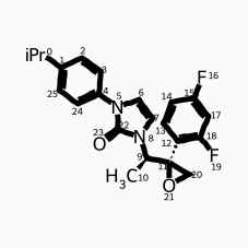 CC(C)c1ccc(-n2ccn([C@H](C)[C@@]3(c4ccc(F)cc4F)CO3)c2=O)cc1